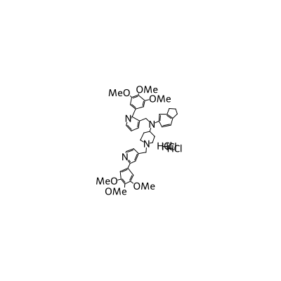 COc1cc(-c2cc(CN3CCC(N(Cc4cccnc4-c4cc(OC)c(OC)c(OC)c4)c4ccc5c(c4)CCC5)CC3)ccn2)cc(OC)c1OC.Cl.Cl.Cl